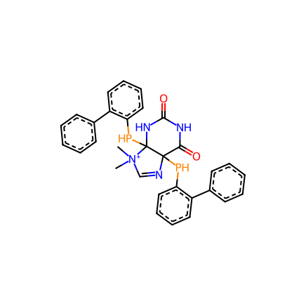 C[N+]1(C)C=NC2(Pc3ccccc3-c3ccccc3)C(=O)NC(=O)NC21Pc1ccccc1-c1ccccc1